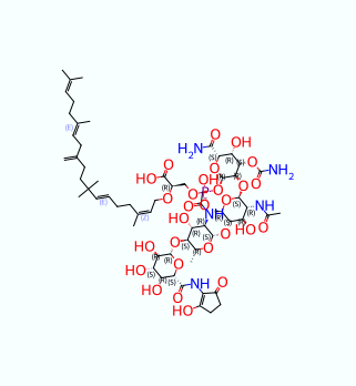 C=C(C/C=C(\C)CCC=C(C)C)CCC(C)(C)/C=C/CC/C(C)=C\CO[C@H](COP(=O)(O)O[C@H]1O[C@H](C(N)=O)[C@H](O)[C@H](OC(N)=O)[C@H]1O[C@@H]1O[C@H](C)[C@@H](O[C@@H]2O[C@H](C)[C@@H](O[C@@H]3O[C@H](C(=O)NC4=C(O)CCC4=O)[C@H](O)[C@H](O)[C@H]3O)[C@H](O)[C@H]2NC(C)=O)[C@H](O)[C@H]1NC(C)=O)C(=O)O